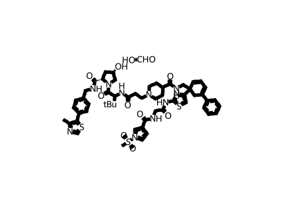 Cc1ncsc1-c1ccc(CNC(=O)[C@@H]2C[C@@H](O)CN2C(=O)C(NC(=O)CCN2CCC(C(=O)NCC3(c4csc(NC(=O)CNC(=O)c5ccn(S(C)(=O)=O)c5)n4)C=CC=C(c4ccccc4)C3)CC2)C(C)(C)C)cc1.O=CO